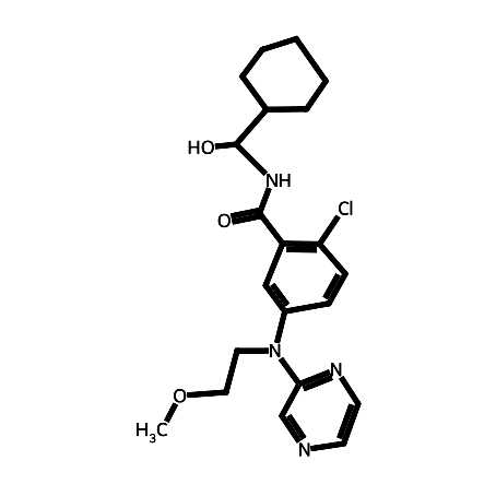 COCCN(c1ccc(Cl)c(C(=O)NC(O)C2CCCCC2)c1)c1cnccn1